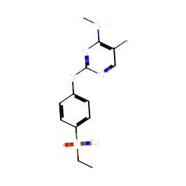 CCS(=N)(=O)c1ccc(Nc2ncc(I)c(NC)n2)cc1